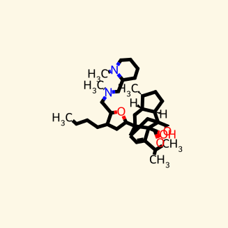 CCCCC1CC(C23C[C@@H]4[C@H](C)CC[C@H]4C4(C=O)CC2C=C(C(C)C)C34C(=O)O)OC1CN(C)CC1CCCCN1C